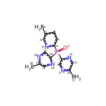 Bc1ccc(P(=O)(c2cnc(B)cn2)c2cnc(B)cn2)nc1